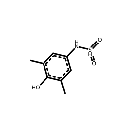 Cc1cc(N[SH](=O)=O)cc(C)c1O